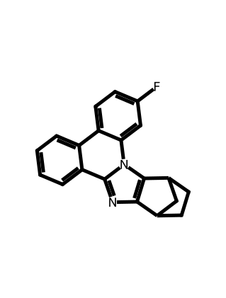 Fc1ccc2c3ccccc3c3nc4c(n3c2c1)C1CCC4C1